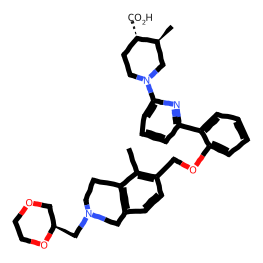 Cc1c(COc2ccccc2-c2cccc(N3CC[C@H](C(=O)O)[C@@H](C)C3)n2)ccc2c1CCN(C[C@@H]1COCCO1)C2